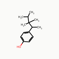 CC(C)C(C)(C)C(C)c1ccc(O)cc1